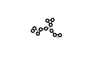 c1ccc2c(-n3c4ccccc4c4cc(-c5ccc(N(c6ccc(-c7ccc8oc9ccccc9c8c7)cc6)c6ccc7c8ccccc8c8ccccc8c7c6)cc5)ccc43)cccc2c1